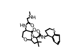 CNCC(=O)NC1CCOC2CC(C)(C)C(C(=O)NC3CCSc4ccccc43)N2C1=O